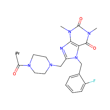 CC(C)C(=O)N1CCN(Cc2nc3c(c(=O)n(C)c(=O)n3C)n2Cc2ccccc2F)CC1